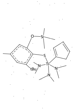 Cc1cc(O[Si](C)(C)C)c([S][Ti]([C]2=CC=CC2)([N](C)C)([N](C)C)[N](C)C)c(C(C)(C)C)c1